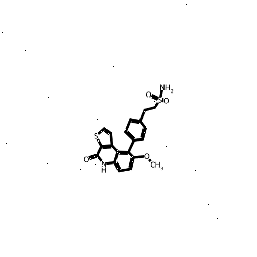 COc1ccc2[nH]c(=O)c3sccc3c2c1-c1ccc(CCS(N)(=O)=O)cc1